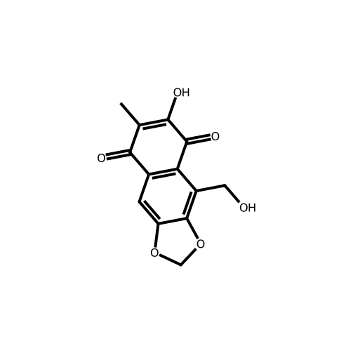 CC1=C(O)C(=O)c2c(cc3c(c2CO)OCO3)C1=O